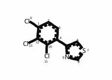 Clc1ccc(-c2cscn2)c(Cl)c1Cl